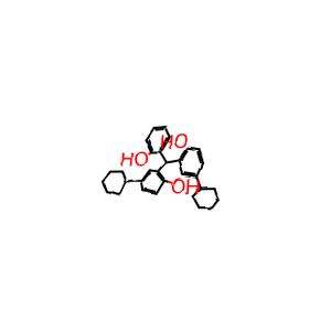 Oc1ccccc1C(c1cc(C2CCCCC2)ccc1O)c1cc(C2CCCCC2)ccc1O